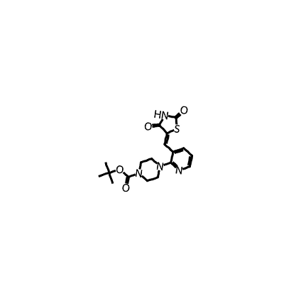 CC(C)(C)OC(=O)N1CCN(c2ncccc2/C=C2\SC(=O)NC2=O)CC1